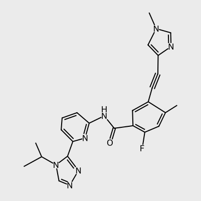 Cc1cc(F)c(C(=O)Nc2cccc(-c3nncn3C(C)C)n2)cc1C#Cc1cn(C)cn1